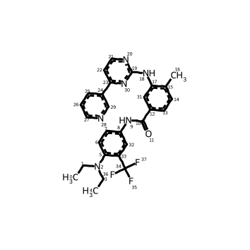 CCN(CC)c1ccc(NC(=O)c2ccc(C)c(Nc3nccc(-c4cccnc4)n3)c2)cc1C(F)(F)F